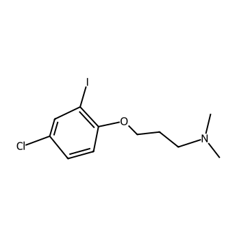 CN(C)CCCOc1ccc(Cl)cc1I